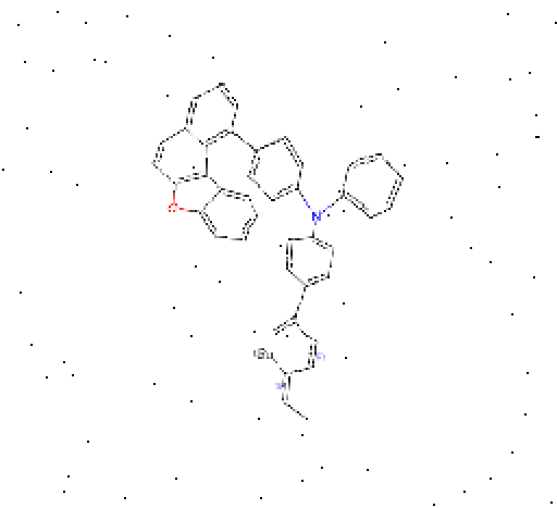 C=C(/C=C\C(=C/C)C(C)(C)C)c1ccc(N(c2ccccc2)c2ccc(-c3cccc4ccc5oc6ccccc6c5c34)cc2)cc1